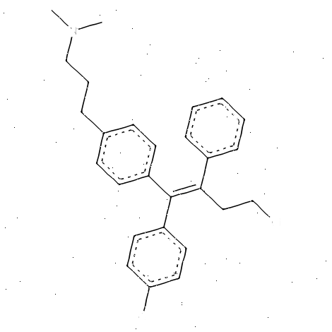 CN(C)CCCc1ccc(/C(=C(/CCCl)c2ccccc2)c2ccc(O)cc2)cc1